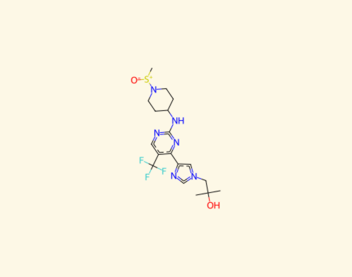 C[S+]([O-])N1CCC(Nc2ncc(C(F)(F)F)c(-c3cn(CC(C)(C)O)cn3)n2)CC1